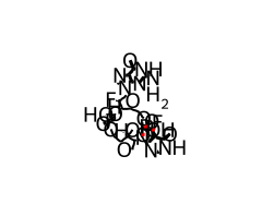 Nc1nc2c(ncn2[C@@H]2OC3COP(=O)(O)O[C@@]4(n5cc(F)c6c(=O)[nH]cnc65)COC(COP(=O)(O)O[C@H]3[C@H]2F)[C@H]4O)c(=O)[nH]1